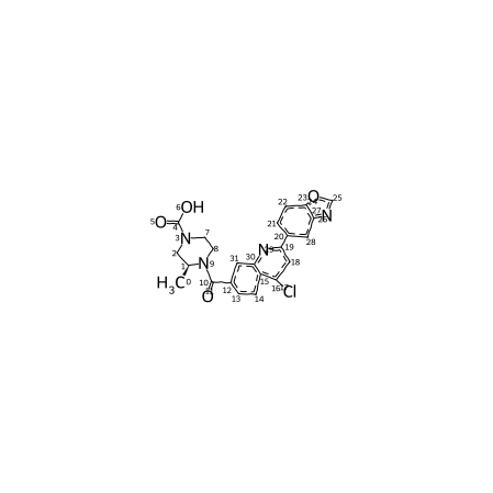 C[C@H]1CN(C(=O)O)CCN1C(=O)c1ccc2c(Cl)cc(-c3ccc4ocnc4c3)nc2c1